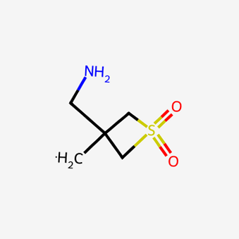 [CH2]C1(CN)CS(=O)(=O)C1